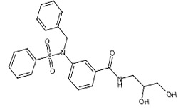 O=C(NCC(O)CO)c1cccc(N(Cc2ccccc2)S(=O)(=O)c2ccccc2)c1